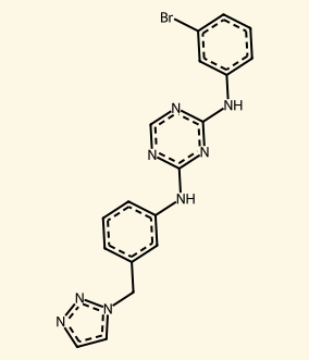 Brc1cccc(Nc2ncnc(Nc3cccc(Cn4ccnn4)c3)n2)c1